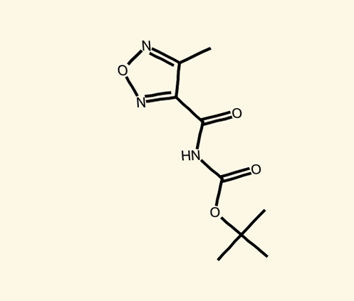 Cc1nonc1C(=O)NC(=O)OC(C)(C)C